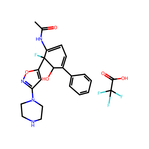 CC(=O)NC1=CC=C(c2ccccc2)C(O)C1(F)c1cc(N2CCNCC2)no1.O=C(O)C(F)(F)F